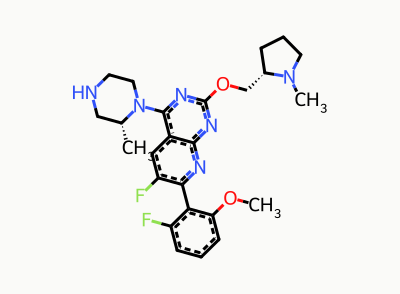 COc1cccc(F)c1-c1nc2nc(OC[C@@H]3CCCN3C)nc(N3CCNC[C@H]3C)c2cc1F